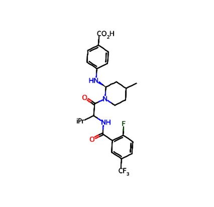 CC1CCN(C(=O)C(NC(=O)c2cc(C(F)(F)F)ccc2F)C(C)C)[C@@H](Nc2ccc(C(=O)O)cc2)C1